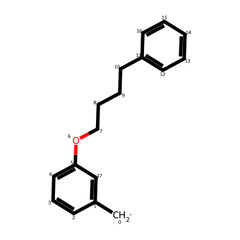 [CH2]c1cccc(OCCCCc2ccccc2)c1